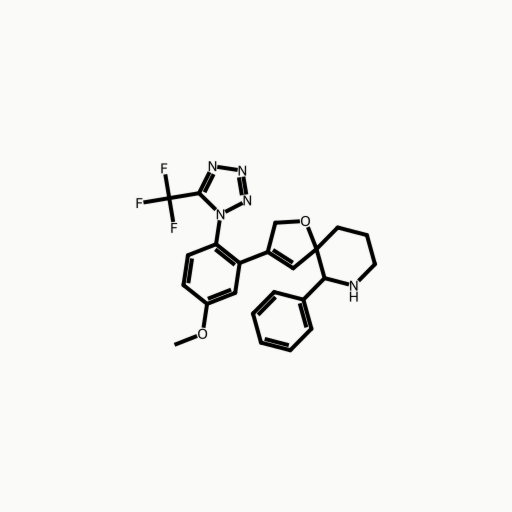 COc1ccc(-n2nnnc2C(F)(F)F)c(C2=CC3(CCCNC3c3ccccc3)OC2)c1